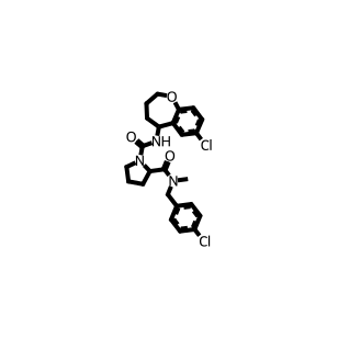 CN(Cc1ccc(Cl)cc1)C(=O)C1CCCN1C(=O)NC1CCCOc2ccc(Cl)cc21